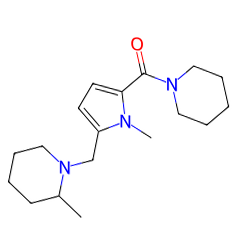 CC1CCCCN1Cc1ccc(C(=O)N2CCCCC2)n1C